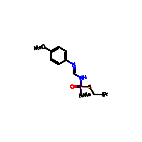 CNP(=O)(NC=Nc1ccc(OC)cc1)SCC(C)C